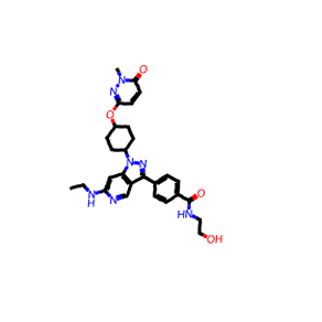 CCNc1cc2c(cn1)c(-c1ccc(C(=O)NCCO)cc1)nn2C1CCC(Oc2ccc(=O)n(C)n2)CC1